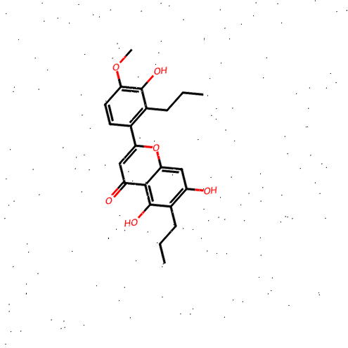 CCCc1c(-c2cc(=O)c3c(O)c(CCC)c(O)cc3o2)ccc(OC)c1O